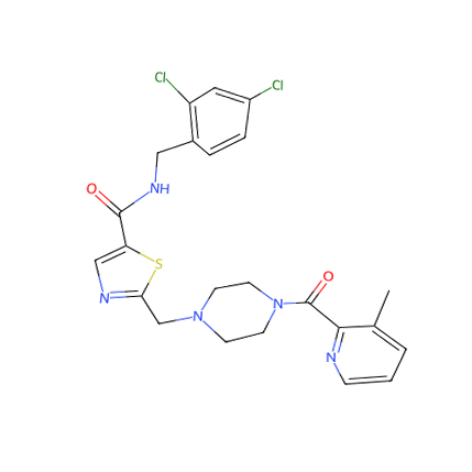 Cc1cccnc1C(=O)N1CCN(Cc2ncc(C(=O)NCc3ccc(Cl)cc3Cl)s2)CC1